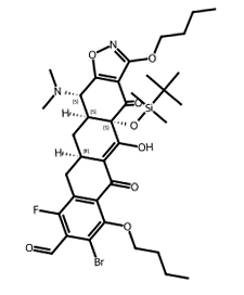 CCCCOc1noc2c1C(=O)[C@@]1(O[Si](C)(C)C(C)(C)C)C(O)=C3C(=O)c4c(c(F)c(C=O)c(Br)c4OCCCC)C[C@H]3C[C@H]1[C@@H]2N(C)C